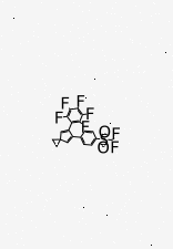 O=S(=O)(c1ccc(C2=CC3(C=C2c2c(F)c(F)c(F)c(F)c2F)CC3)cc1)C(F)F